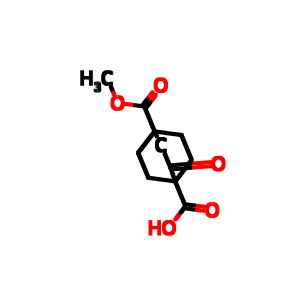 COC(=O)C12CCC(C(=O)O)(CC1)C(=O)C2